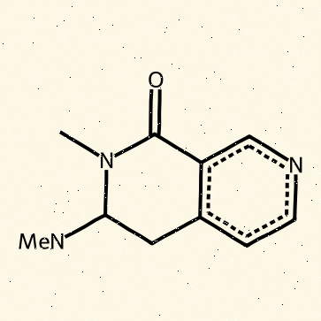 CNC1Cc2ccncc2C(=O)N1C